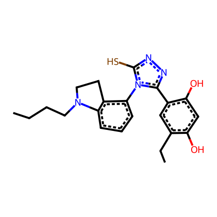 CCCCN1CCc2c1cccc2-n1c(S)nnc1-c1cc(CC)c(O)cc1O